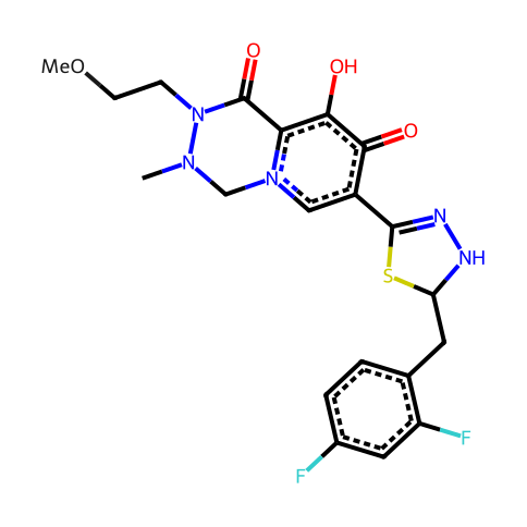 COCCN1C(=O)c2c(O)c(=O)c(C3=NNC(Cc4ccc(F)cc4F)S3)cn2CN1C